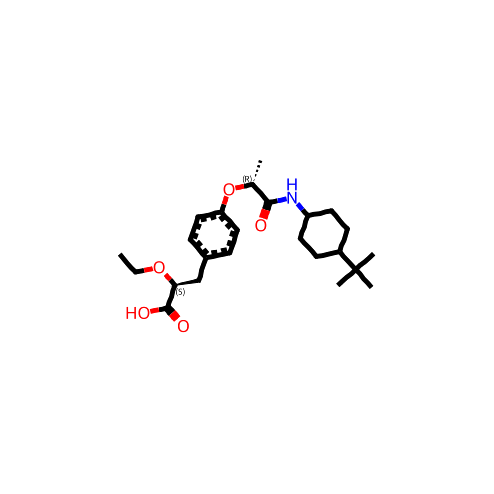 CCO[C@@H](Cc1ccc(O[C@H](C)C(=O)NC2CCC(C(C)(C)C)CC2)cc1)C(=O)O